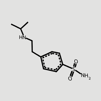 CC(C)NCCc1ccc(S(N)(=O)=O)cc1